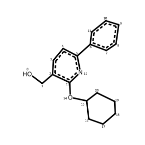 OCc1ccc(-c2ccccc2)nc1OC1CCCCC1